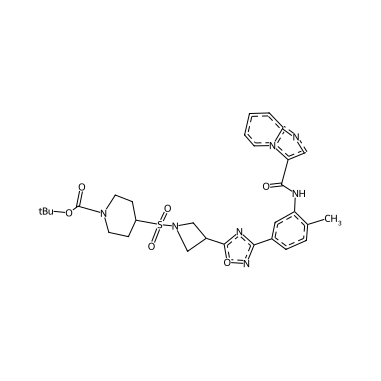 Cc1ccc(-c2noc(C3CN(S(=O)(=O)C4CCN(C(=O)OC(C)(C)C)CC4)C3)n2)cc1NC(=O)c1cnc2ccccn12